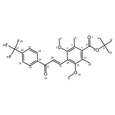 COc1c(C)c(C(=O)OC(C)(C)C)c(C)c(OC)c1C=CC(=O)c1ccc(C(F)(F)F)cc1